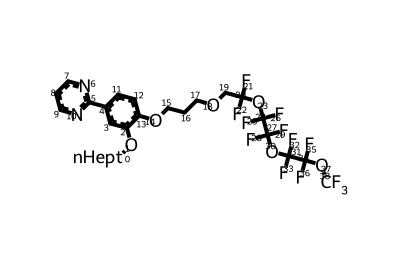 CCCCCCCOc1cc(-c2ncccn2)ccc1OCCCOCC(F)(F)OC(F)(F)C(F)(F)OC(F)(F)C(F)(F)OC(F)(F)F